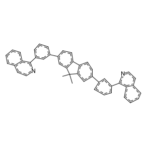 CC1(C)c2cc(-c3cccc(-c4nccc5ccccc45)c3)ccc2-c2ccc(-c3cccc(-c4nccc5ccccc45)c3)cc21